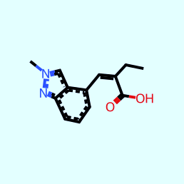 CCC(=Cc1cccc2nn(C)cc12)C(=O)O